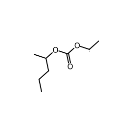 C[CH]OC(=O)OC(C)CCC